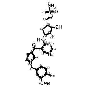 COc1cc(Cn2ccc(C(=O)c3cncnc3N[C@@H]3C[C@H](COS(N)(=O)=O)[C@@H](O)[C@@H]3F)c2)ccc1F